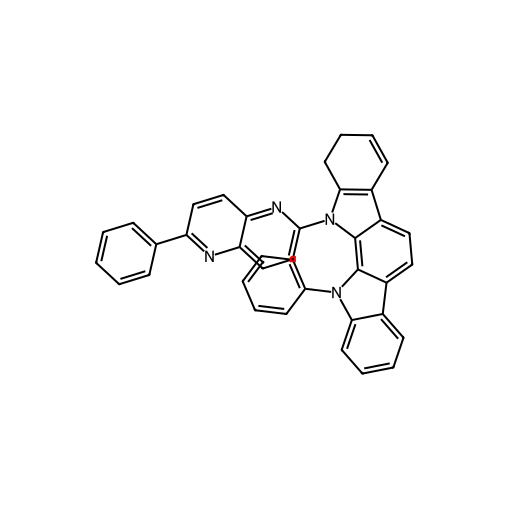 C1=Cc2c(n(-c3ccc4nc(-c5ccccc5)ccc4n3)c3c2ccc2c4ccccc4n(-c4ccccc4)c23)CC1